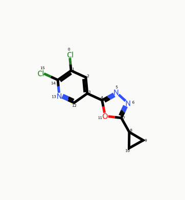 Clc1cc(-c2nnc(C3CC3)o2)cnc1Cl